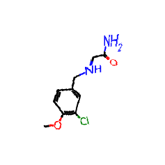 COc1ccc(CNCC(N)=O)cc1Cl